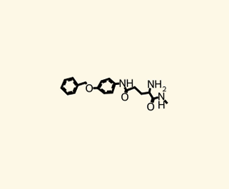 CNC(=O)C(N)CCC(=O)Nc1ccc(OCc2ccccc2)cc1